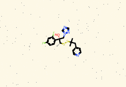 C[C@@H](SSC(C)(C)Cc1ccncc1)[C@](O)(Cn1cncn1)c1ccc(F)cc1F